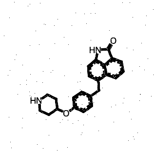 O=C1Nc2ccc(Cc3ccc(OC4CCNCC4)cc3)c3cccc1c23